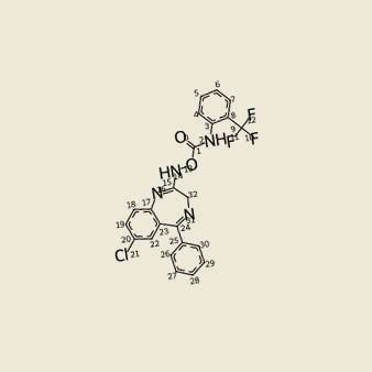 O=C(Nc1ccccc1C(F)(F)F)ONC1=Nc2ccc(Cl)cc2C(c2ccccc2)=NC1